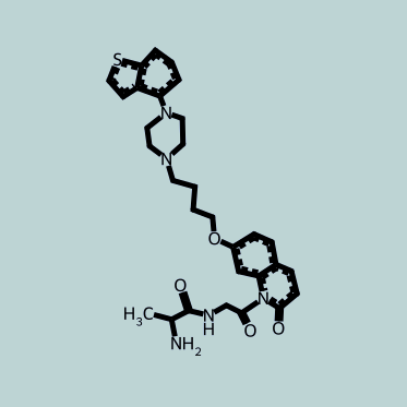 CC(N)C(=O)NCC(=O)n1c(=O)ccc2ccc(OCCCCN3CCN(c4cccc5sccc45)CC3)cc21